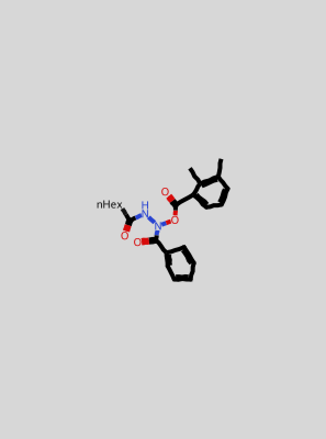 CCCCCCC(=O)NN(OC(=O)c1cccc(C)c1C)C(=O)c1ccccc1